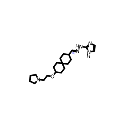 C(=N\Nc1ncc[nH]1)/C1CCC2(CC1)CCC(OCCN1CCCC1)CC2